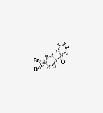 O=C(c1ccccc1)c1ccc(C(Br)Br)cc1